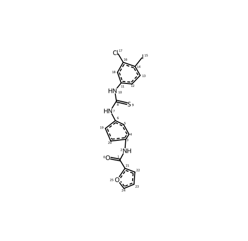 O=C(Nc1ccc(NC(=S)Nc2ccc(I)c(Cl)c2)cc1)c1ccco1